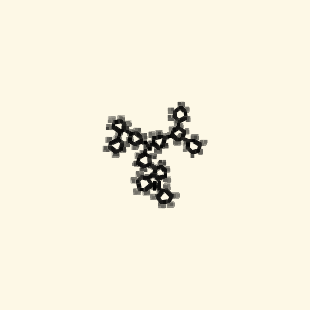 c1ccc(-c2cc(-c3ccccc3)cc(-c3ccc(N(c4ccc(-c5ccccc5-c5ccccc5)cc4)c4cccc(-c5cccc6c5c5ccccc5n6-c5ccccc5)c4)cc3)c2)cc1